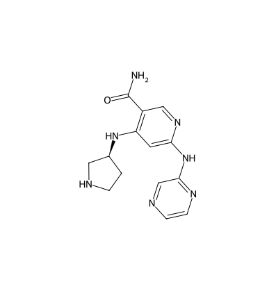 NC(=O)c1cnc(Nc2cnccn2)cc1N[C@H]1CCNC1